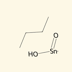 CCCC.[O]=[Sn][OH]